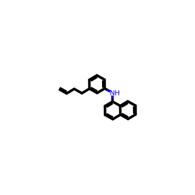 C=CCCc1cccc(Nc2cccc3ccccc23)c1